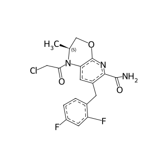 C[C@H]1COc2nc(C(N)=O)c(Cc3ccc(F)cc3F)cc2N1C(=O)CCl